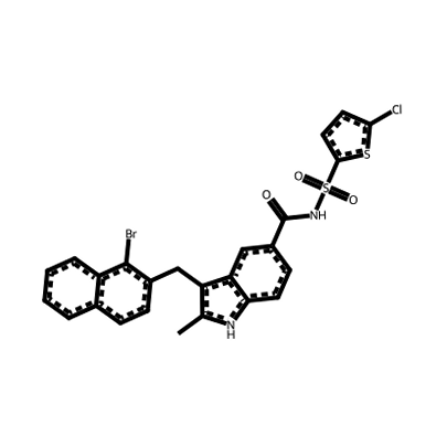 Cc1[nH]c2ccc(C(=O)NS(=O)(=O)c3ccc(Cl)s3)cc2c1Cc1ccc2ccccc2c1Br